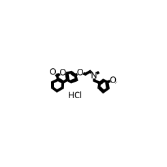 COc1cccc(CN(C)CCOc2ccc3c4c(c(=O)oc3c2)CCCC4)c1.Cl